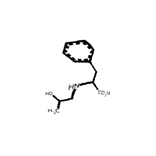 CC(O)CNC(Cc1ccccc1)C(=O)O